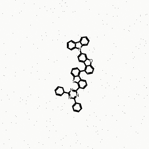 C1=CCC(c2nc(-c3ccccc3)nc(-c3cccc4c3sc3cccc(-c5cccc6oc7cc(-n8c9ccccc9c9ccccc98)ccc7c56)c34)n2)C=C1